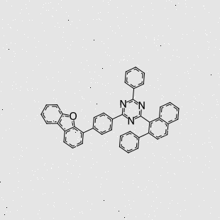 c1ccc(-c2nc(-c3ccc(-c4cccc5c4oc4ccccc45)cc3)nc(-c3c(-c4ccccc4)ccc4ccccc34)n2)cc1